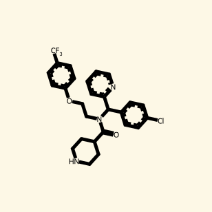 O=C(C1CCNCC1)N(CCOc1ccc(C(F)(F)F)cc1)C(c1ccc(Cl)cc1)c1ccccn1